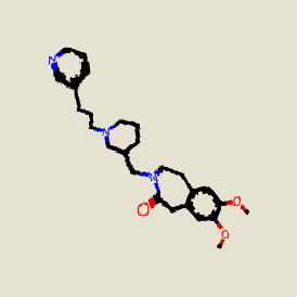 COc1cc2c(cc1OC)CC(=O)N(CC1CCCN(CCCc3cccnc3)C1)CC2